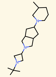 CC1CCCN(C2CC3CN(C4CN(C(C)(C)C)C4)CC3C2)C1